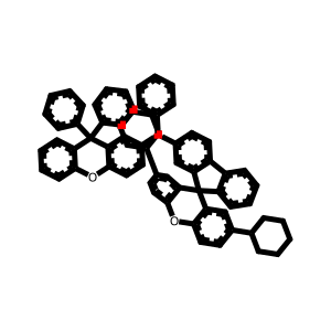 c1ccc(N(c2ccc3c(c2)C(c2ccccc2)(c2ccccc2)c2ccccc2O3)c2ccc3c(c2)C2(c4cc(C5CCCCC5)ccc4Oc4ccc(C5CCCCC5)cc42)c2ccccc2-3)cc1